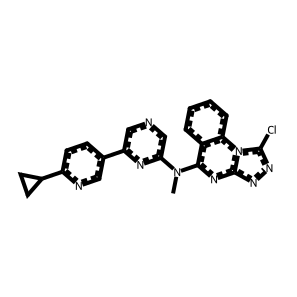 CN(c1cncc(-c2ccc(C3CC3)nc2)n1)c1nc2nnc(Cl)n2c2ccccc12